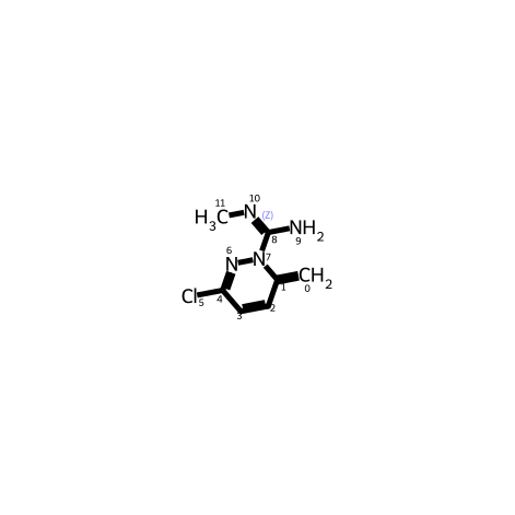 C=C1C=CC(Cl)=NN1/C(N)=N\C